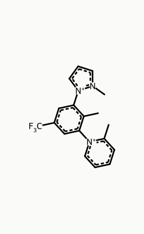 Cc1c(-[n+]2ccccc2C)cc(C(F)(F)F)cc1-[n+]1cccn1C